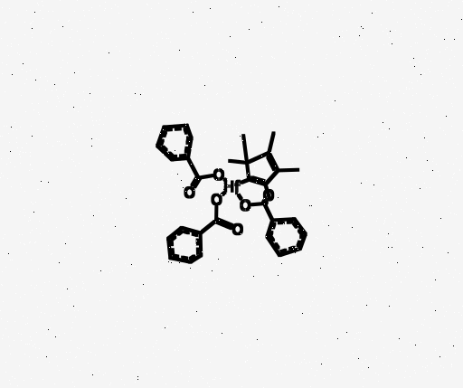 CC1=C(C)C(C)(C)[C]([Hf]([O]C(=O)c2ccccc2)([O]C(=O)c2ccccc2)[O]C(=O)c2ccccc2)=C1C